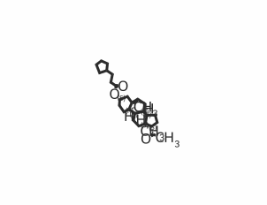 CC(=O)[C@H]1CC[C@H]2[C@@H]3CC=C4C[C@@H](OC(=O)CCC5CCCC5)CC[C@]4(C)[C@H]3CC[C@]12C